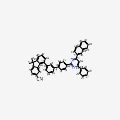 CC1(C)c2ccc(C#N)cc2-c2c(-c3cccc(-c4ccc(-c5nc(-c6ccccc6)cc(-c6ccc7ccccc7c6)n5)cc4)c3)cccc21